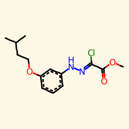 COC(=O)C(Cl)=NNc1cccc(OCCC(C)C)c1